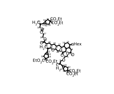 C=C(COCCOC(=O)CC1C(CCCCCC)CCC(CCCCCCCC(=O)OCCOOCC(=C)C2C3CC(C(=O)OCC)(C(=O)OCC)CC32)C1CC(=O)OCCOCC(=C)C1C2CC(C(=O)OCC)(C(=O)OCC)CC21)C1C2CC(C(=O)OCC)(C(=O)OCC)CC21